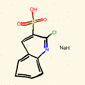 O=S(=O)(O)c1cc2ccccc2nc1Cl.[NaH]